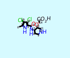 Cc1[nH]c(C(=O)N[C@@H]2CCNC[C@@H]2OCC(=O)O)c(Cl)c1Cl